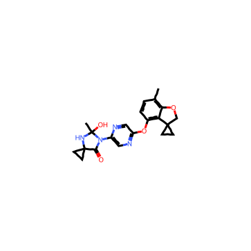 Cc1ccc(Oc2cnc(N3C(=O)C4(CC4)NC3(C)O)cn2)c2c1OCC21CC1